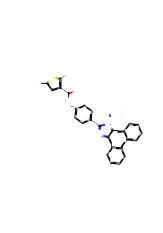 Cc1cc(C(=O)Nc2ccc(-c3nc4c5ccccc5c5ccccc5c4n3C)cc2)c(C)s1